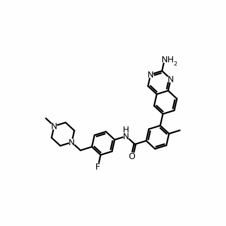 Cc1ccc(C(=O)Nc2ccc(CN3CCN(C)CC3)c(F)c2)cc1-c1ccc2nc(N)ncc2c1